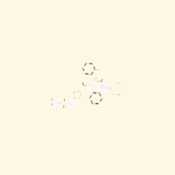 Cc1ccccc1[C@H](C(=O)NC1CCCCC1)N(c1cccc(F)c1)C(=O)[C@H]1C[C@H](NS(=O)(=O)N2CC2)C1